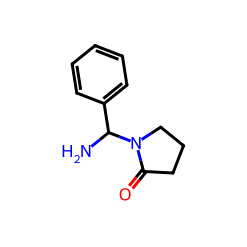 NC(c1ccccc1)N1CCCC1=O